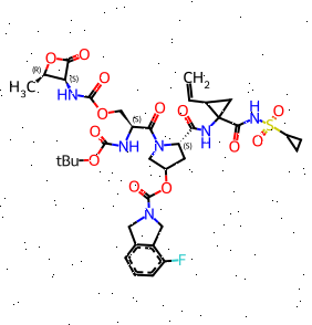 C=CC1CC1(NC(=O)[C@@H]1CC(OC(=O)N2Cc3cccc(F)c3C2)CN1C(=O)[C@H](COC(=O)N[C@@H]1C(=O)O[C@@H]1C)NC(=O)OC(C)(C)C)C(=O)NS(=O)(=O)C1CC1